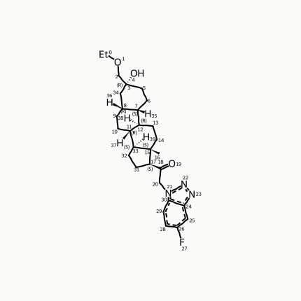 CCOC[C@@]1(O)CC[C@H]2[C@H](CC[C@@H]3[C@@H]2CC[C@]2(C)[C@@H](C(=O)Cn4nnc5cc(F)ccc54)CC[C@@H]32)C1